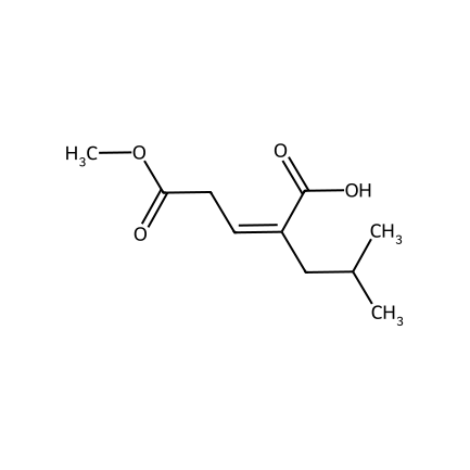 COC(=O)CC=C(CC(C)C)C(=O)O